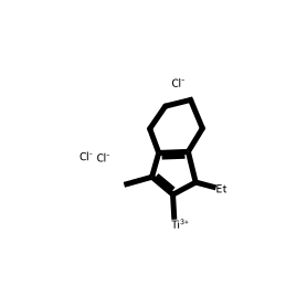 CCC1[C]([Ti+3])=C(C)C2=C1CCCC2.[Cl-].[Cl-].[Cl-]